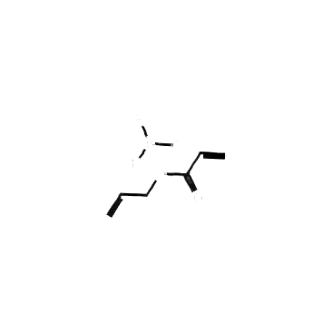 C=CCOC(=O)C=C.FB(F)F